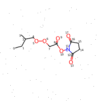 CCC(C)COOCC(=O)ON1C(=O)CCC1=O